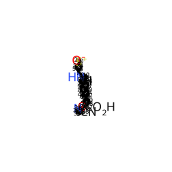 C[S+]([O-])C1CCC(CCNC23CCC[C@@H]2C2CCC4C5(C)CC=C(C6=CC[C@@](COc7ncccc7C#N)(C(=O)O)CC6)C(C)(C)C5CCC4(C)[C@]2(C)CC3)CC1